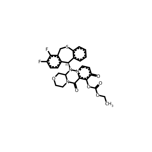 CCOC(=O)Oc1c2n(ccc1=O)N([C@@H]1c3ccccc3SCc3c1ccc(F)c3F)C1COCCN1C2=O